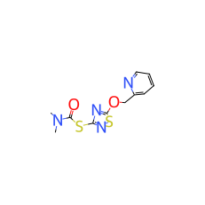 CN(C)C(=O)Sc1nsc(OCc2ccccn2)n1